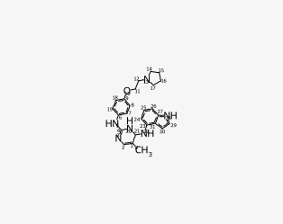 CC1=CN=C(Nc2ccc(OCCN3CCCC3)cc2)NC1Nc1cccc2[nH]ccc12